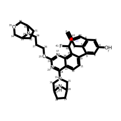 C#CCc1c2cc(O)cc1-c1ccc3c(N4CC5CCC(C4)N5)nc(OCCCN4C5CCC4COC5)nc3c1C(F)/C=C\2